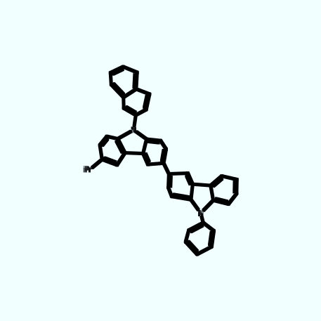 CC(C)c1ccc2c(c1)c1cc(-c3ccc4c(c3)c3ccccc3n4-c3ccccc3)ccc1n2-c1ccc2ccccc2c1